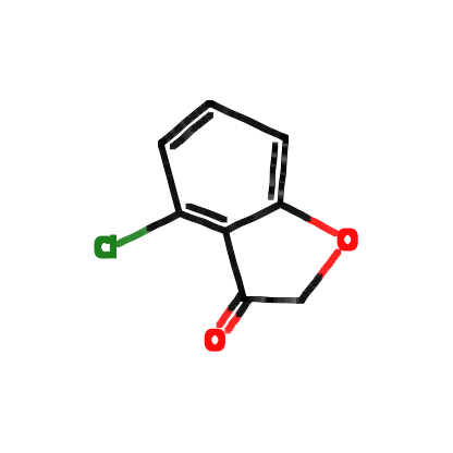 O=C1COc2cccc(Cl)c21